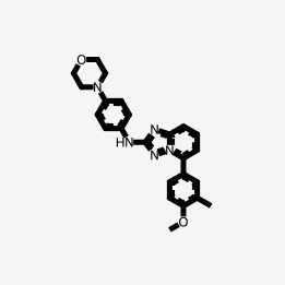 COc1ccc(-c2cccc3nc(Nc4ccc(N5CCOCC5)cc4)nn23)cc1C